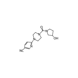 N#Cc1ccc(N2CCN(C(=O)N3CCC(O)C3)CC2)nc1